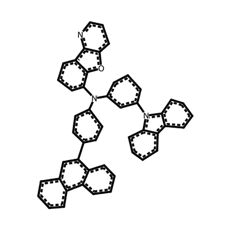 c1cc(N(c2ccc(-c3cc4ccccc4c4ccccc34)cc2)c2cccc3c2oc2cccnc23)cc(-n2c3ccccc3c3ccccc32)c1